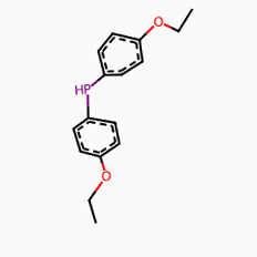 CCOc1ccc(Pc2ccc(OCC)cc2)cc1